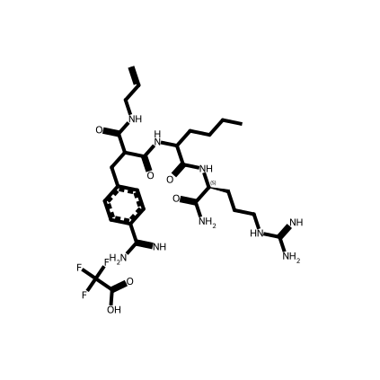 C=CCNC(=O)C(Cc1ccc(C(=N)N)cc1)C(=O)NC(CCCC)C(=O)N[C@@H](CCCNC(=N)N)C(N)=O.O=C(O)C(F)(F)F